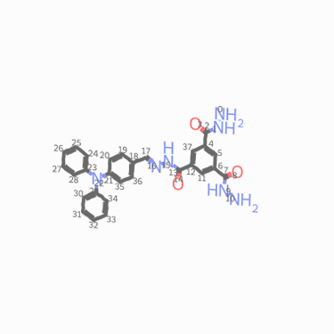 NNC(=O)c1cc(C(=O)NN)cc(C(=O)N/N=C/c2ccc(N(c3ccccc3)c3ccccc3)cc2)c1